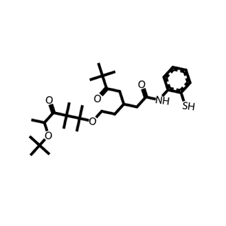 CC(OC(C)(C)C)C(=O)C(C)(C)C(C)(C)OCCC(CC(=O)Nc1ccccc1S)CC(=O)C(C)(C)C